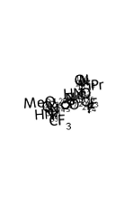 COCC(c1ccc2oc(C(NC(=O)c3conc3C(C)C)C3CCC(F)(F)CC3)nc2c1)N1CC(C(F)(F)F)NC1=O